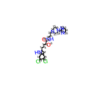 CO/C(=C\C=C\c1cc2cc(Cl)c(Cl)cc2[nH]1)C(=O)NCCCN1CCCN(c2ncccn2)CC1